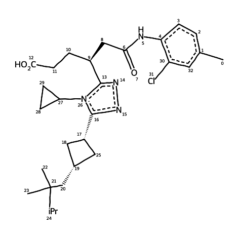 Cc1ccc(NC(=O)C[C@H](CCC(=O)O)c2nnc([C@H]3C[C@@H](CC(C)(C)C(C)C)C3)n2C2CC2)c(Cl)c1